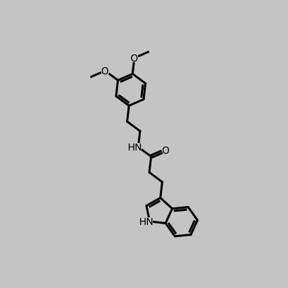 COc1ccc(CCNC(=O)CCc2c[nH]c3ccccc23)cc1OC